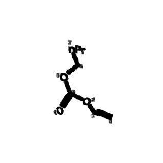 C=COC(=O)OCCCC